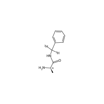 [2H]C([2H])(NC(=O)[C@@H](C)N)c1ccccc1